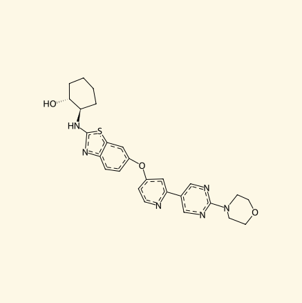 O[C@@H]1CCCC[C@H]1Nc1nc2ccc(Oc3ccnc(-c4cnc(N5CCOCC5)nc4)c3)cc2s1